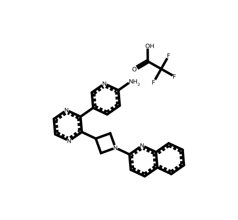 Nc1ccc(-c2nccnc2C2CN(c3ccc4ccccc4n3)C2)cn1.O=C(O)C(F)(F)F